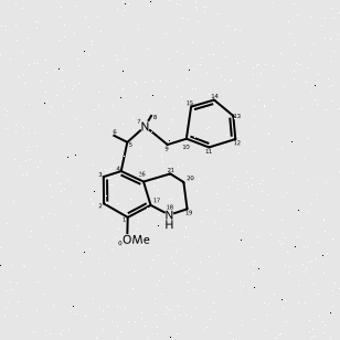 COc1ccc(C(C)N(C)Cc2ccccc2)c2c1NCCC2